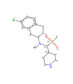 CCCN(C1CCc2ccc(Br)cc2C1)C(C1CCNCC1)S(C)(=O)=O